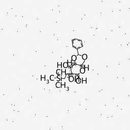 C[Si](C)(C)CC[C@]1(O)[C@H](O)O[C@@H]2COC(c3ccccc3)O[C@@H]2[C@@H]1O